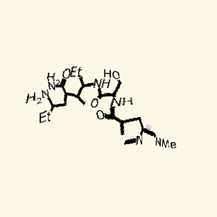 C=N/C(=C\NC)CC(C)C(=O)NC(CO)C(=O)NC(CC)C(C)C(CC(N)CC)C(N)=O